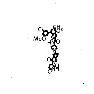 COc1cc(Cl)cc(-c2cn(C)c(=O)c3cc(C(=O)NC4CCN(c5ccc6c(c5)C(=O)N(C5CCC(=O)NC5=O)C6)CC4)sc23)c1